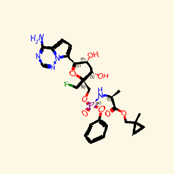 C[C@H](N[P@@](=O)(OC[C@@]1(CF)O[C@@H](c2ccc3c(N)ncnn23)[C@H](O)[C@@H]1O)Oc1ccccc1)C(=O)OCC1(C)CC1